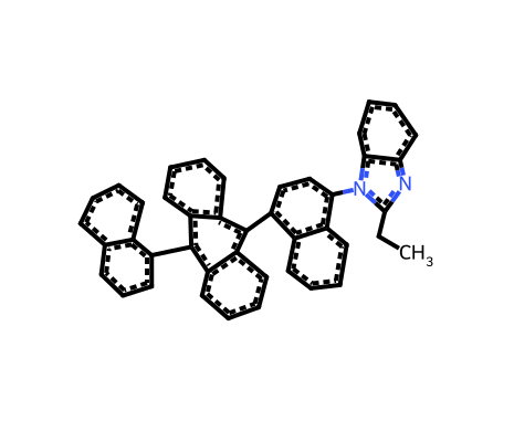 CCc1nc2ccccc2n1-c1ccc(-c2c3ccccc3c(-c3cccc4ccccc34)c3ccccc23)c2ccccc12